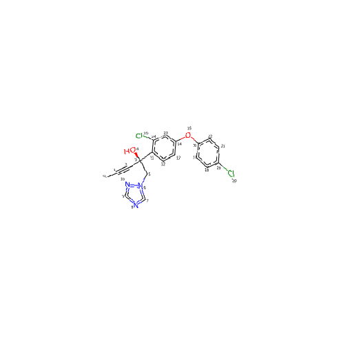 CC#C[C@@](O)(Cn1cncn1)c1ccc(Oc2ccc(Cl)cc2)cc1Cl